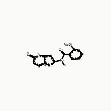 COc1ccccc1C(=O)N(C)c1cc2oc(=O)ccc2s1